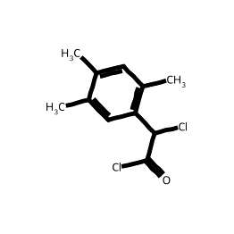 Cc1cc(C)c(C(Cl)C(=O)Cl)cc1C